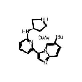 CO[C@H]1CNC[C@@H]1Nc1cccc(-c2cnc3ccc(C(C)(C)C)cn23)n1